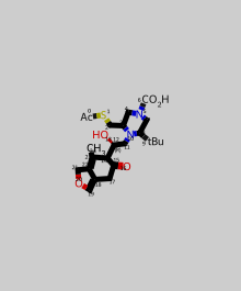 CC(=O)SCC1CN(C(=O)O)CC(C(C)(C)C)N1C[C@H](O)C1C(=O)CC2=COCC2=C1C